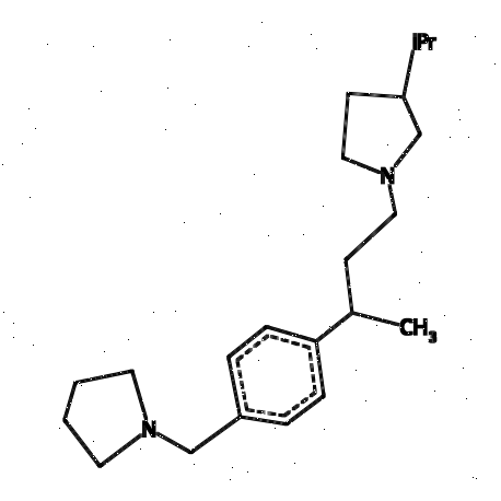 CC(CCN1CCC(C(C)C)C1)c1ccc(CN2CCCC2)cc1